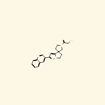 NCC(=O)N1CCC2(CCn3nc(-c4cnc5ccccc5c4)cc32)C1